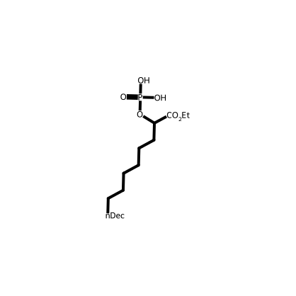 CCCCCCCCCCCCCCCCC(OP(=O)(O)O)C(=O)OCC